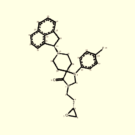 O=C1N(CC[C@@H]2CO2)CN(c2ccc(F)cc2)C12CCN([C@@H]1Cc3cccc4cccc1c34)CC2